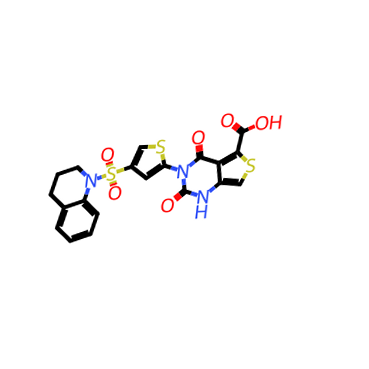 O=C(O)c1scc2[nH]c(=O)n(-c3cc(S(=O)(=O)N4CCCc5ccccc54)cs3)c(=O)c12